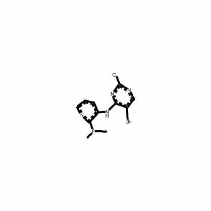 CP(C)c1ncccc1Nc1nc(Cl)ncc1Br